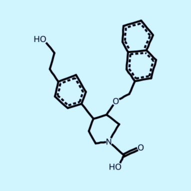 O=C(O)N1CCC(c2ccc(CCO)cc2)C(OCc2ccc3ccccc3c2)C1